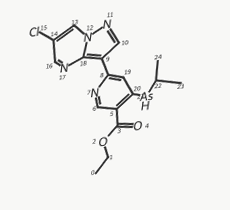 CCOC(=O)c1cnc(-c2cnn3cc(Cl)cnc23)cc1[AsH]C(C)C